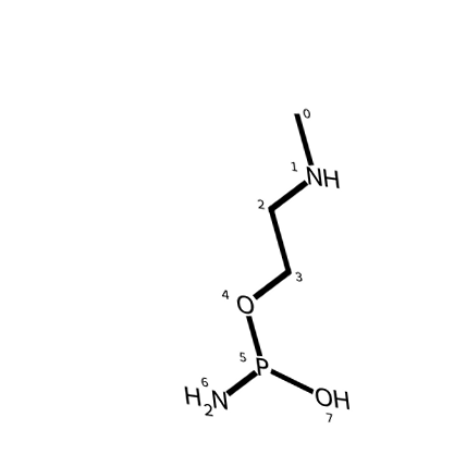 CNCCOP(N)O